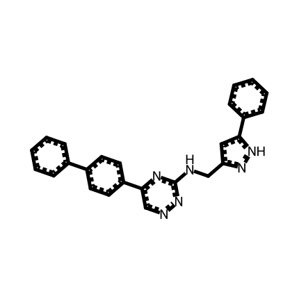 c1ccc(-c2ccc(-c3cnnc(NCc4cc(-c5ccccc5)[nH]n4)n3)cc2)cc1